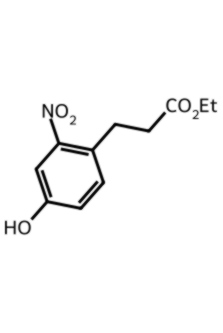 CCOC(=O)CCc1ccc(O)cc1[N+](=O)[O-]